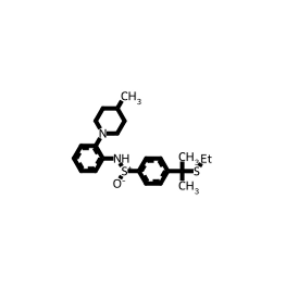 CCSC(C)(C)c1ccc([S+]([O-])Nc2ccccc2N2CCC(C)CC2)cc1